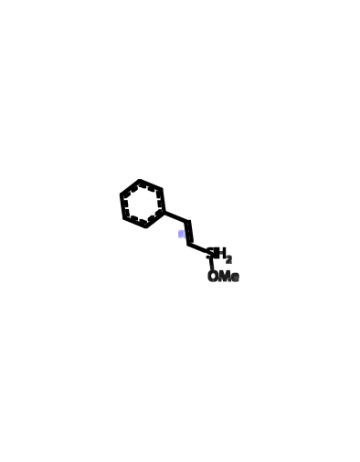 CO[SiH2]/C=C/c1ccccc1